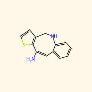 NC1=Cc2ccccc2NCc2ccsc21